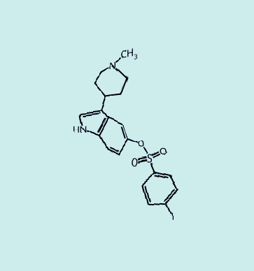 CN1CCC(c2c[nH]c3ccc(OS(=O)(=O)c4ccc(I)cc4)cc23)CC1